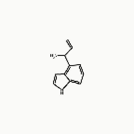 C=CC(N)c1cccc2[nH]ccc12